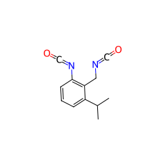 CC(C)c1cccc(N=C=O)c1CN=C=O